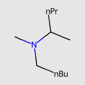 CCCCCN(C)C(C)CCC